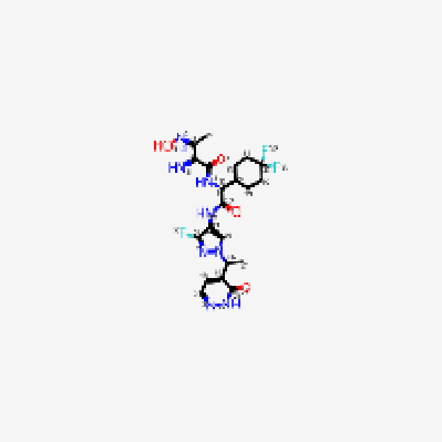 C/C(=N/O)C(=N)C(=O)N[C@H](C(=O)Nc1cn(C(C)c2ccn[nH]c2=O)nc1F)C1CCC(F)(F)CC1